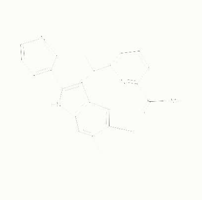 COC(=O)c1cccc(C(O)c2c(-c3cccnc3)[nH]c3cc(C)c(C)cc23)n1